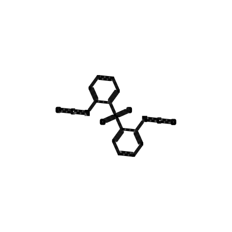 O=C=Nc1ccccc1S(=O)(=O)c1ccccc1N=C=O